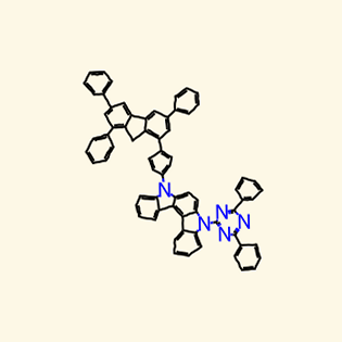 c1ccc(-c2cc(-c3ccccc3)c3c(c2)-c2cc(-c4ccccc4)cc(-c4ccc(-n5c6ccccc6c6c7c8ccccc8n(-c8nc(-c9ccccc9)nc(-c9ccccc9)n8)c7ccc65)cc4)c2C3)cc1